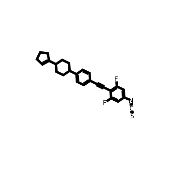 Fc1cc(N=C=S)cc(F)c1C#Cc1ccc(C2CCC(C3=CCCC3)CC2)cc1